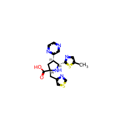 Cc1cnc([C@@H]2N[C@](Cc3cscn3)(C(=O)O)C[C@@H]2c2cnccn2)s1